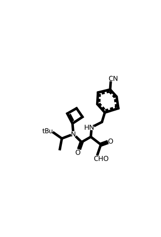 CC(N(C(=O)C(NCc1ccc(C#N)cc1)C(=O)C=O)C1=CCC1)C(C)(C)C